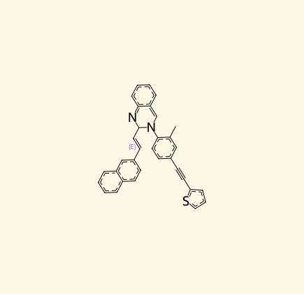 Cc1cc(C#Cc2cccs2)ccc1N1C=c2ccccc2=NC1/C=C/c1ccc2ccccc2c1